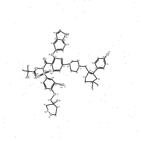 CCC(C)(C)C(=O)ON(C(=O)c1ccc(N2CCN(CC3=C(c4ccc(Cl)cc4)CC(C)(C)CC3)CC2)cc1Oc1cnc2[nH]ccc2c1)S(=O)(=O)c1ccc(OCC2(F)CCOCC2)c([N+](=O)[O-])c1